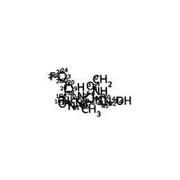 C=CC(=O)Nc1cc(Nc2cc(N3OCC[C@@H]3c3cccc(-c4cccc(F)c4)c3)ncn2)c(OC)cc1N1CCN(CCO)CC1